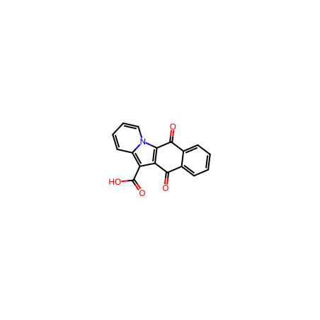 O=C1c2ccccc2C(=O)c2c1c(C(=O)O)c1ccccn21